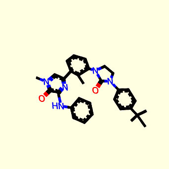 Cc1c(-c2cn(C)c(=O)c(Nc3ccccc3)n2)cccc1N1CCN(c2ccc(C(C)(C)C)cc2)C1=O